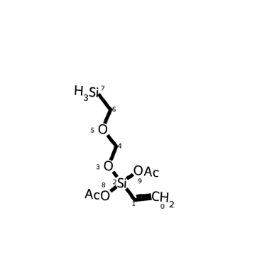 C=C[Si](OCOC[SiH3])(OC(C)=O)OC(C)=O